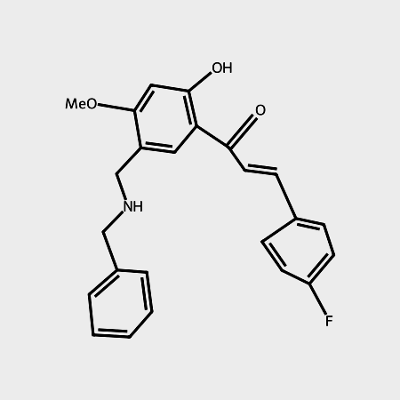 COc1cc(O)c(C(=O)/C=C/c2ccc(F)cc2)cc1CNCc1ccccc1